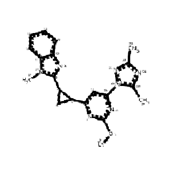 CCOc1nc(C2CC2c2nc3ccccc3n2C)cc(-n2nc(C)nc2C)n1